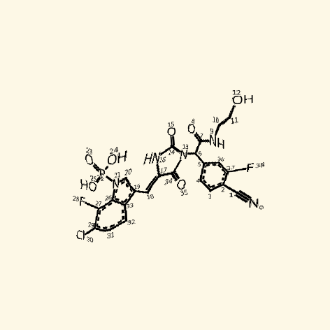 N#Cc1ccc(C(C(=O)NCCO)N2C(=O)N/C(=C\c3cn(P(=O)(O)O)c4c(F)c(Cl)ccc34)C2=O)cc1F